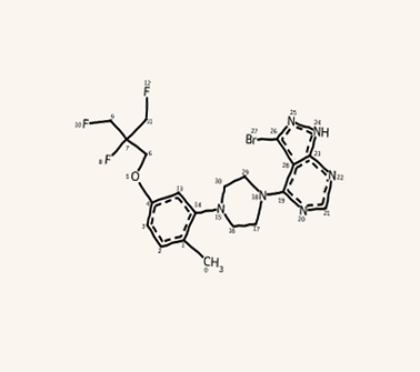 Cc1ccc(OCC(F)(CF)CF)cc1N1CCN(c2ncnc3[nH]nc(Br)c23)CC1